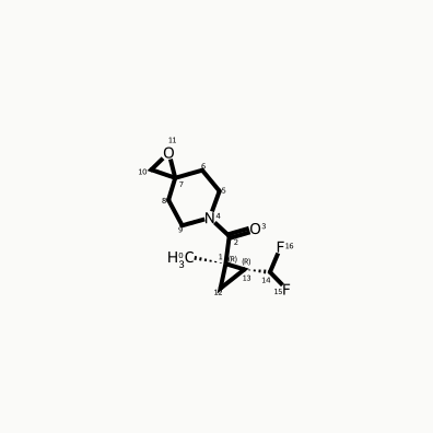 C[C@@]1(C(=O)N2CCC3(CC2)CO3)C[C@H]1C(F)F